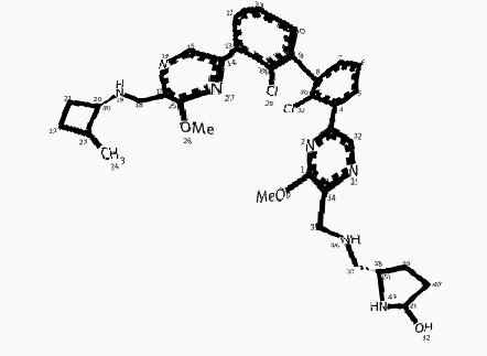 COc1nc(-c2cccc(-c3cccc(-c4cnc(CN[C@@H]5CCC5C)c(OC)n4)c3Cl)c2Cl)cnc1CNC[C@@H]1CCC(O)N1